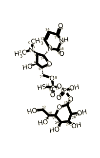 CN(C)[C@@H]1[C@H](O)[C@@H](COP(=O)(S)OP(=O)(O)OC2OC([C@@H](O)CO)C(O)C(O)C2O)O[C@H]1n1ccc(=O)[nH]c1=O